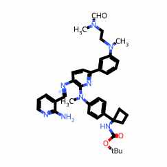 CN(C=O)CCN(C)c1cccc(-c2ccc(/N=C/c3cccnc3N)c(N(C)c3ccc(C4(NC(=O)OC(C)(C)C)CCC4)cc3)n2)c1